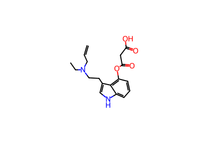 C=CCN(CC)CCc1c[nH]c2cccc(OC(=O)CC(=O)O)c12